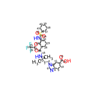 CC(C)(CCn1cnc2ccc(C(=O)O)cc21)NC[C@H](OC(=O)C(F)(F)F)c1cccc(NS(=O)(=O)c2ccccc2)c1